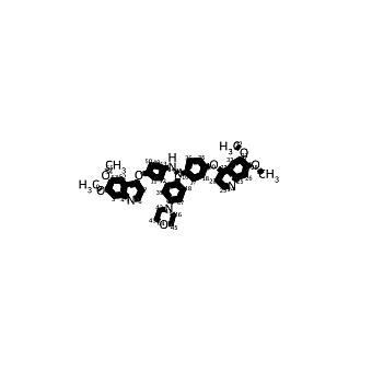 COc1cc2nccc(Oc3ccc(NN(c4ccc(Oc5ccnc6cc(OC)c(OC)cc56)cc4)c4ccc(N5CCOCC5)cc4)cc3)c2cc1OC